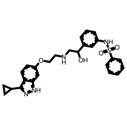 O=S(=O)(Nc1cccc(C(O)CNCCOc2ccc3c(C4CC4)n[nH]c3c2)c1)c1ccccc1